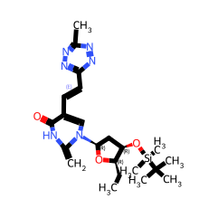 C=C1NC(=O)C(/C=C/c2nnc(C)nn2)=CN1[C@H]1C[C@@H](O[Si](C)(C)C(C)(C)C)[C@@H](CC)O1